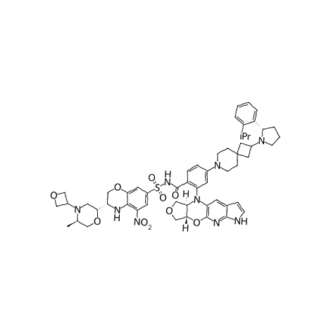 CC(C)c1ccccc1[C@@H]1CCCN1C1CC2(CCN(c3ccc(C(=O)NS(=O)(=O)c4cc5c(c([N+](=O)[O-])c4)N[C@H](C4CN(C6COC6)[C@H](C)CO4)CO5)c(N4c5cc6cc[nH]c6nc5O[C@@H]5COC[C@H]54)c3)CC2)C1